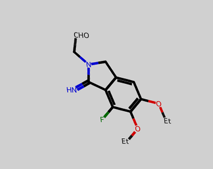 CCOc1cc2c(c(F)c1OCC)C(=N)N(CC=O)C2